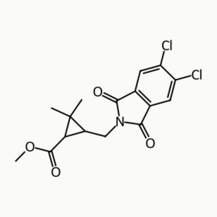 COC(=O)C1C(CN2C(=O)c3cc(Cl)c(Cl)cc3C2=O)C1(C)C